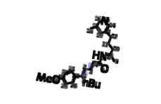 CCCC/C(=C\C=C\C(=O)N[C@H](C)CCCc1cncc(C)c1)c1ccc(OC)cc1